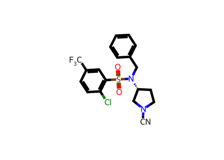 N#CN1CC[C@@H](N(Cc2ccccc2)S(=O)(=O)c2cc(C(F)(F)F)ccc2Cl)C1